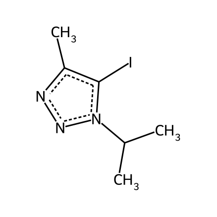 Cc1nnn(C(C)C)c1I